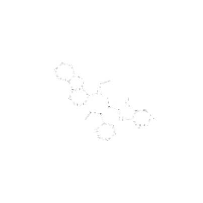 C=CN1CC2(C)C3N(C)c4cncnc4N3c3ccccc3C2(C)C(=C)c2ccc3c(oc4ccccc43)c21